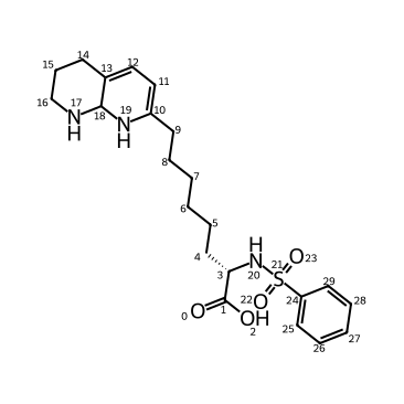 O=C(O)[C@H](CCCCCCC1=CC=C2CCCNC2N1)NS(=O)(=O)c1ccccc1